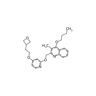 CCCCOc1c(C)c(COc2cc(OCCC3COC3)ccn2)nc2ccccc12